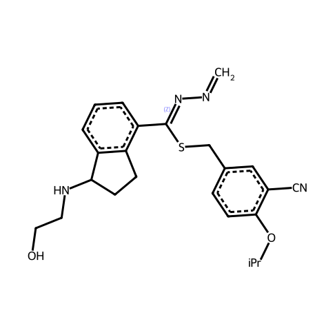 C=N/N=C(\SCc1ccc(OC(C)C)c(C#N)c1)c1cccc2c1CCC2NCCO